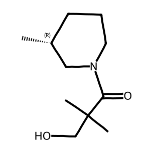 C[C@@H]1CCCN(C(=O)C(C)(C)CO)C1